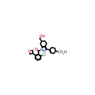 O=C(O)C1CC=C(c2nn(C(=O)c3c(Cl)cccc3C3COC3)c3c2CCC(CO)C3)CC1